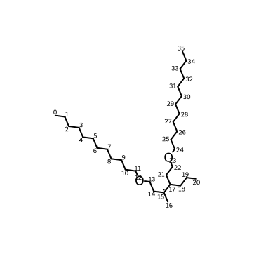 CCCCCCCCCCCCOCC[C](C)C(CCC)CCOCCCCCCCCCCCC